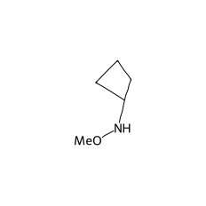 CONC1CCC1